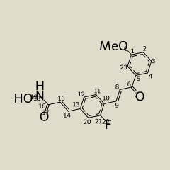 COc1cccc(C(=O)C=Cc2ccc(C=CC(=O)NO)cc2F)c1